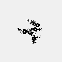 CCCOc1ccc(C(Cn2cc[n+](Cc3ccc([N+](=O)[O-])cc3C#N)c2)OCCc2ccc(C#N)cc2)cc1.NS(=O)(=O)OC1CCCCC1